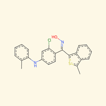 Cc1ccccc1Nc1ccc(C(=NO)c2sc(C)c3ccccc23)c(Cl)c1